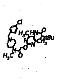 Cc1nc(OCC(=O)N(C)C2CCN(Cc3ccc(Cl)cc3)CC2)nc(C)c1NC(=O)OC(C)(C)C